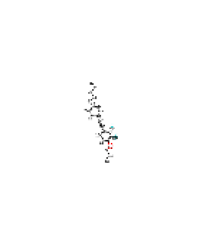 CCCCCc1ccc(C#Cc2ccc(OCCC)c(F)c2F)cc1